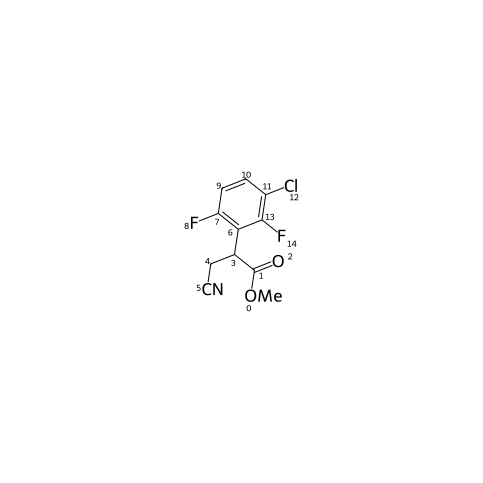 COC(=O)C(CC#N)c1c(F)ccc(Cl)c1F